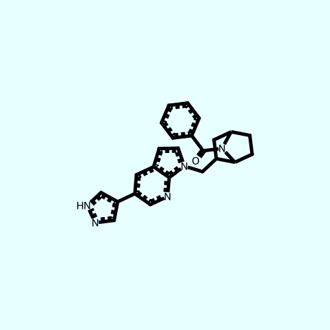 O=C(c1ccccc1)N1C2CCC1C(Cn1ccc3cc(-c4cn[nH]c4)cnc31)C2